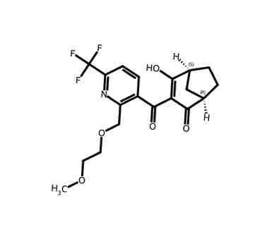 COCCOCc1nc(C(F)(F)F)ccc1C(=O)C1=C(O)[C@H]2CC[C@H](C2)C1=O